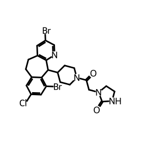 O=C(CN1CCNC1=O)N1CCC(C2c3ncc(Br)cc3CCc3cc(Cl)cc(Br)c32)CC1